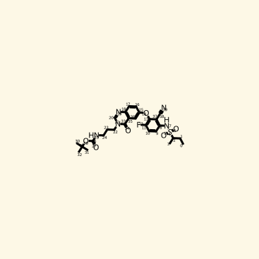 CCC(C)S(=O)(=O)Nc1ccc(F)c(Oc2ccc3ncn(CCCNC(=O)OC(C)(C)C)c(=O)c3c2)c1C#N